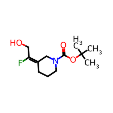 CC(C)(C)OC(=O)N1CCCC(=C(F)CO)C1